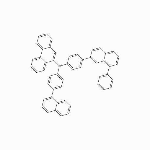 c1ccc(-c2cccc3ccc(-c4ccc(N(c5ccc(-c6cccc7ccccc67)cc5)c5cc6ccccc6c6ccccc56)cc4)cc23)cc1